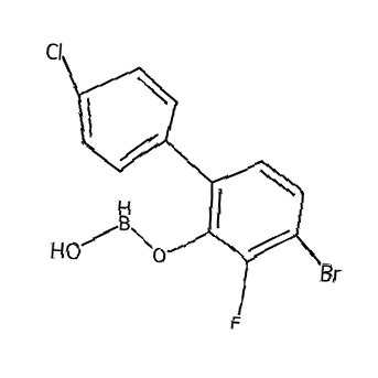 OBOc1c(-c2ccc(Cl)cc2)ccc(Br)c1F